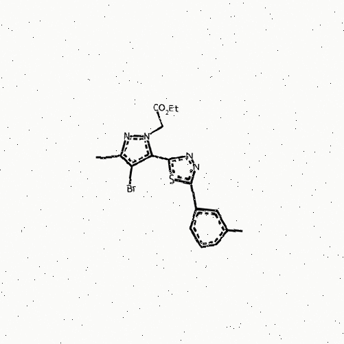 CCOC(=O)Cn1nc(C)c(Br)c1-c1nnc(-c2cccc(C)c2)s1